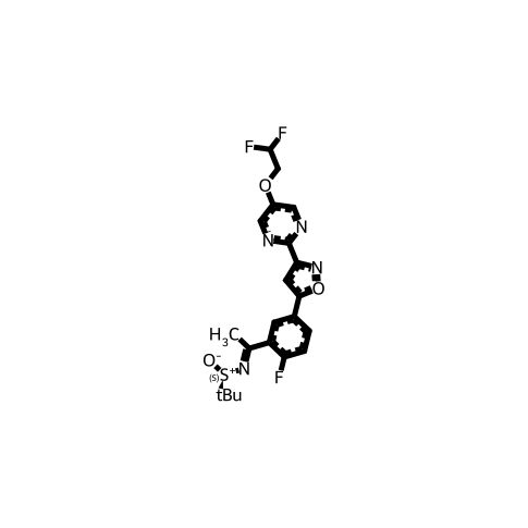 CC(=N[S@+]([O-])C(C)(C)C)c1cc(-c2cc(-c3ncc(OCC(F)F)cn3)no2)ccc1F